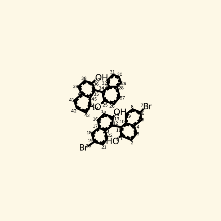 Oc1ccc2cc(Br)ccc2c1-c1c(O)ccc2cc(Br)ccc12.Oc1ccc2ccccc2c1-c1c(O)ccc2ccccc12